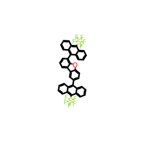 FS(F)(F)(F)(F)c1c2ccccc2c(-c2ccc3oc4c(-c5c6ccccc6c(S(F)(F)(F)(F)F)c6ccccc56)cccc4c3c2)c2ccccc12